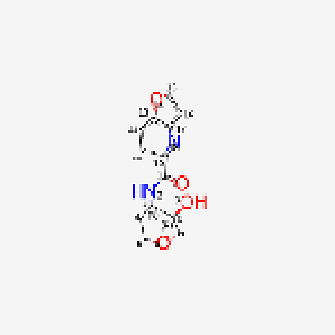 O=C(N[C@H]1CCOC[C@@H]1O)c1ccc2occc2n1